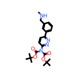 CNCc1cccc(-c2ccc(N(C(=O)OC(C)(C)C)C(=O)OC(C)(C)C)nn2)c1